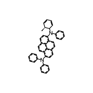 C[C@H]1C=CC=CC1N(c1ccccc1)c1ccc2ccc3c(N(c4ccccc4)c4ccccc4)ccc4ccc1c2c43